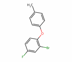 Cc1ccc(Oc2ccc(F)cc2Br)cc1